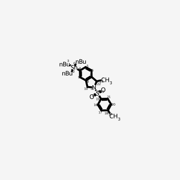 CCC[CH2][Sn]([CH2]CCC)([CH2]CCC)[c]1ccc2c(c1)CN(S(=O)(=O)c1ccc(C)cc1)C2C